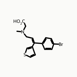 CN(CC=C(c1ccc(Br)cc1)c1ccsc1)CC(=O)O